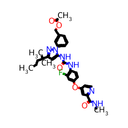 CCCC(C)(C)c1cc(NC(=O)Nc2ccc(Oc3ccnc(C(=O)NC)c3)cc2F)n(-c2cccc(COC(C)=O)c2)n1